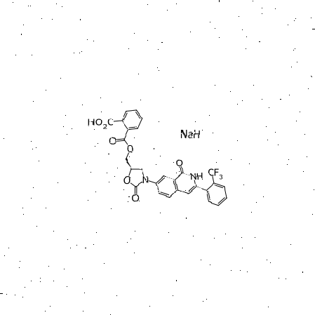 O=C(O)c1ccccc1C(=O)OC[C@H]1CN(c2ccc3cc(-c4ccccc4C(F)(F)F)[nH]c(=O)c3c2)C(=O)O1.[NaH]